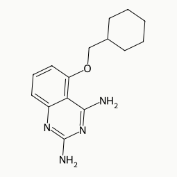 Nc1nc(N)c2c(OCC3CCCCC3)cccc2n1